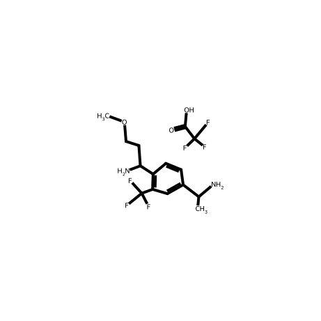 COCCC(N)c1ccc(C(C)N)cc1C(F)(F)F.O=C(O)C(F)(F)F